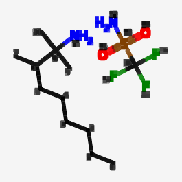 CCCCCCC(C)C(C)(C)N.NS(=O)(=O)C(F)(F)F